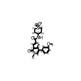 COc1cccc(-c2cn(C)c(=O)c3cc(C(=O)NC4CCS(=O)(=O)CC4)sc23)c1